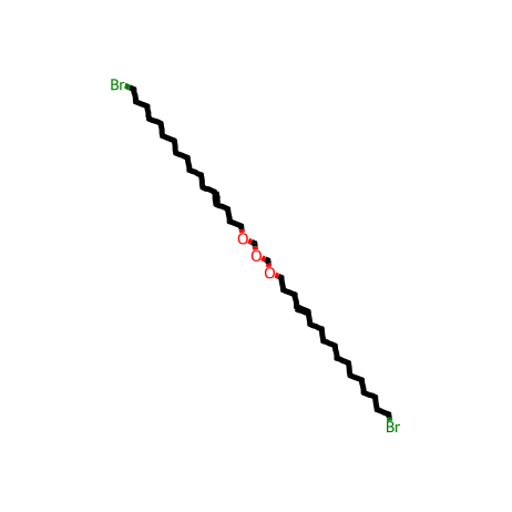 BrCCCCCCCCCCCCC=CCCCOCOCOCCCC=CCCCCCCCCCCCCBr